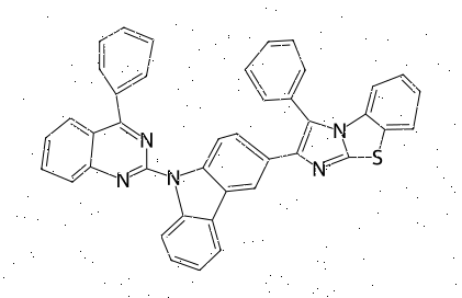 c1ccc(-c2nc(-n3c4ccccc4c4cc(-c5nc6sc7ccccc7n6c5-c5ccccc5)ccc43)nc3ccccc23)cc1